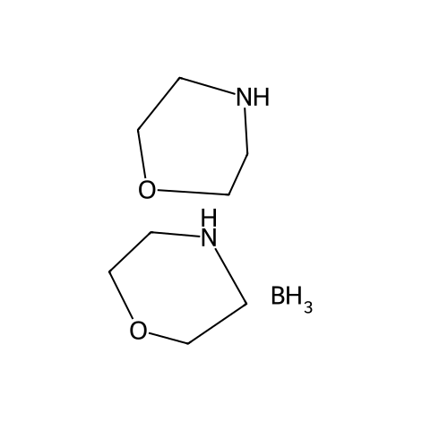 B.C1COCCN1.C1COCCN1